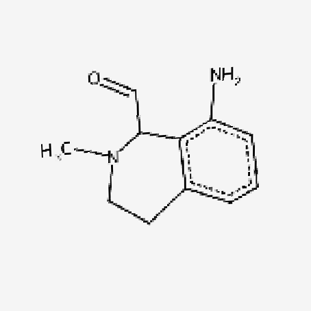 CN1CCc2cccc(N)c2C1C=O